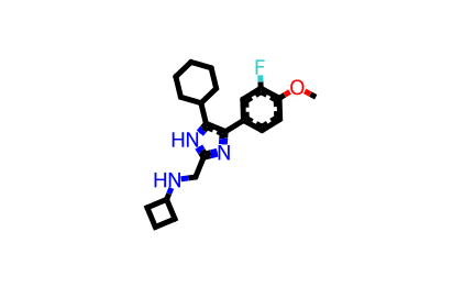 COc1ccc(-c2nc(CNC3CCC3)[nH]c2C2CCCCC2)cc1F